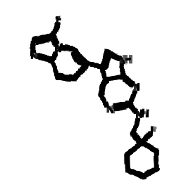 Fc1cnc2ccc(-c3c[nH]c4nc(NCC5(F)CCCCC5)ncc34)cn12